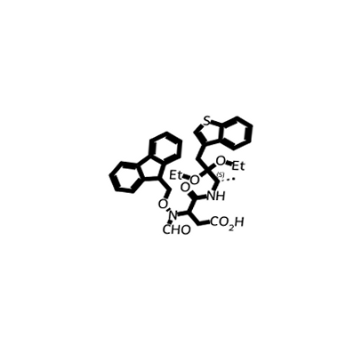 CCOC(Cc1csc2ccccc12)(OCC)[C@H](C)NC(=O)C(CC(=O)O)N(C=O)OCC1c2ccccc2-c2ccccc21